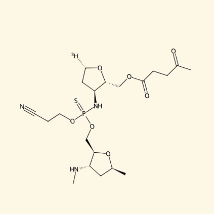 [3H][C@H]1C[C@H](NP(=S)(OCCC#N)OC[C@H]2O[C@@H](C)C[C@@H]2NC)[C@@H](COC(=O)CCC(C)=O)O1